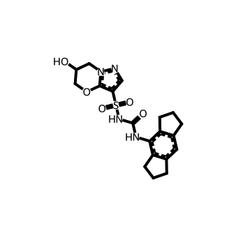 O=C(Nc1c2c(cc3c1CCC3)CCC2)NS(=O)(=O)c1cnn2c1OCC(O)C2